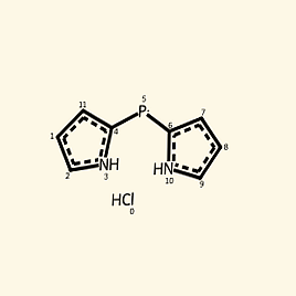 Cl.c1c[nH]c([P]c2ccc[nH]2)c1